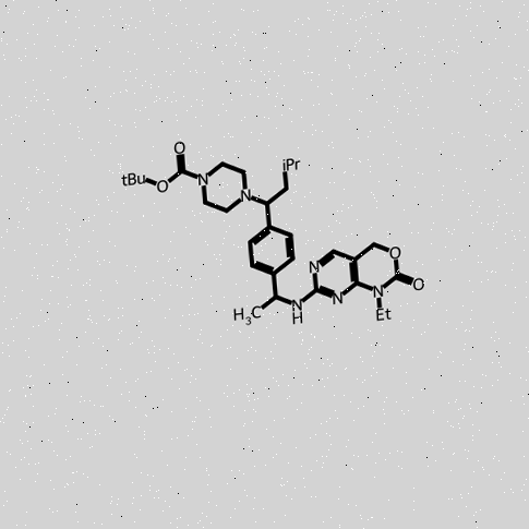 CCN1C(=O)OCc2cnc(NC(C)c3ccc(C(CC(C)C)N4CCN(C(=O)OC(C)(C)C)CC4)cc3)nc21